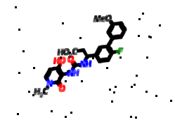 COc1cccc(-c2cc([C@H](CC(=O)O)NC(=O)Nc3c(O)ccn(C)c3=O)ccc2F)c1